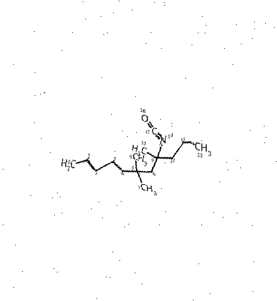 CCCCCC(C)(C)CC(C)(CCC)N=C=O